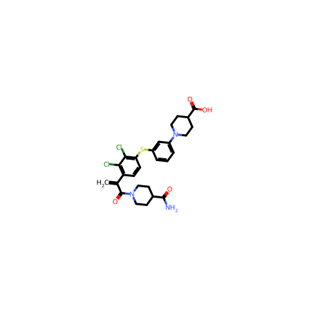 C=C(C(=O)N1CCC(C(N)=O)CC1)c1ccc(Sc2cccc(N3CCC(C(=O)O)CC3)c2)c(Cl)c1Cl